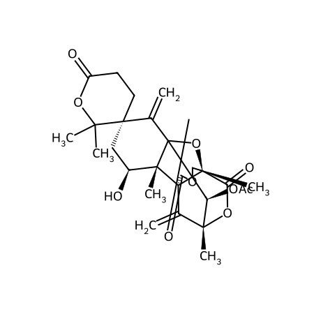 C=C1C23O[C@@]45C(=O)O[C@](C)(C(=C)[C@@]4(C(=O)O[C@H]5C)[C@]2(C)[C@@H](O)C[C@]12CCC(=O)OC2(C)C)[C@@H]3OC(C)=O